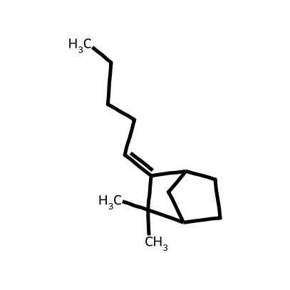 CCCCC=C1C2CCC(C2)C1(C)C